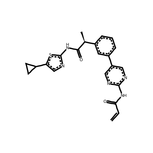 C=CC(=O)Nc1ncc(-c2cccc([C@H](C)C(=O)Nc3ncc(C4CC4)s3)c2)cn1